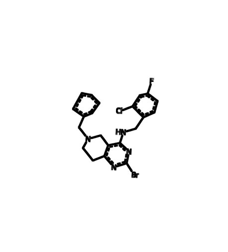 Fc1ccc(CNc2nc(Br)nc3c2CN(Cc2ccccc2)CC3)c(Cl)c1